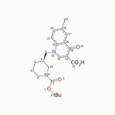 CC(C)(C)OC(=O)N1CCC[C@@H](Cn2cc(C(=O)O)c(=O)c3cc(I)ccc32)C1